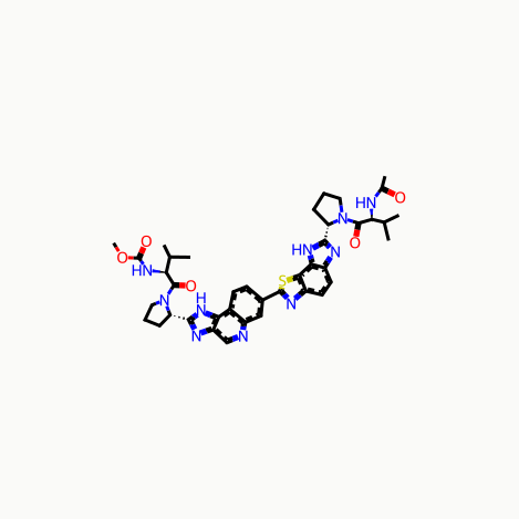 COC(=O)N[C@H](C(=O)N1CCC[C@H]1c1nc2cnc3cc(-c4nc5ccc6nc([C@@H]7CCCN7C(=O)[C@@H](NC(C)=O)C(C)C)[nH]c6c5s4)ccc3c2[nH]1)C(C)C